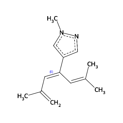 C=C(C)/C=C(\C=C(C)C)c1cnn(C)c1